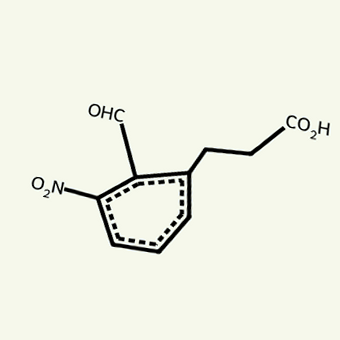 O=Cc1c(CCC(=O)O)cccc1[N+](=O)[O-]